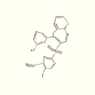 N#Cc1cc(S(=O)(=O)c2cnc3ccccc3c2-c2cccc(Cl)c2)ccc1F